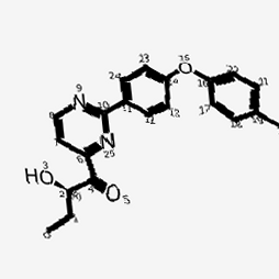 CC[C@@H](O)C(=O)c1ccnc(-c2ccc(Oc3ccc(C)cc3)cc2)n1